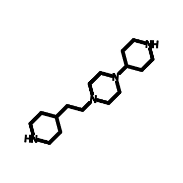 C1CC(CCN2CCN(C3CCNCC3)CC2)CCN1